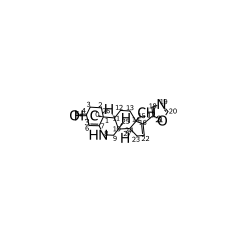 C[C@]12CCC(=O)C=C1NC[C@@H]1[C@@H]2CC[C@]2(C)C(c3cnco3)=CC[C@@H]12